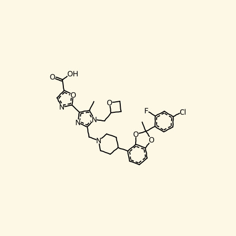 Cc1c(-c2ncc(C(=O)O)o2)nc(CN2CCC(c3cccc4c3OC(C)(c3ccc(Cl)cc3F)O4)CC2)n1CC1CCO1